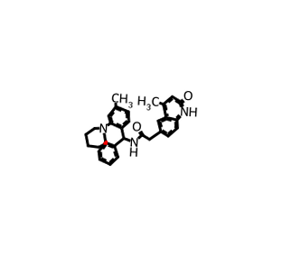 Cc1ccc(C(NC(=O)Cc2ccc3[nH]c(=O)cc(C)c3c2)c2ccccc2)c(N2CCCCC2)c1